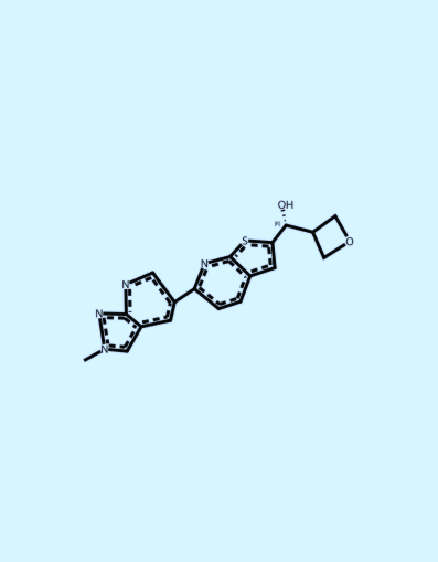 Cn1cc2cc(-c3ccc4cc([C@H](O)C5COC5)sc4n3)cnc2n1